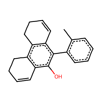 Cc1ccccc1-c1c(O)c2c(c3c1C=CCC3)CCC=C2